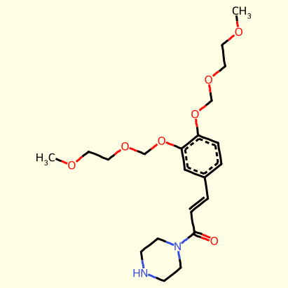 COCCOCOc1ccc(C=CC(=O)N2CCNCC2)cc1OCOCCOC